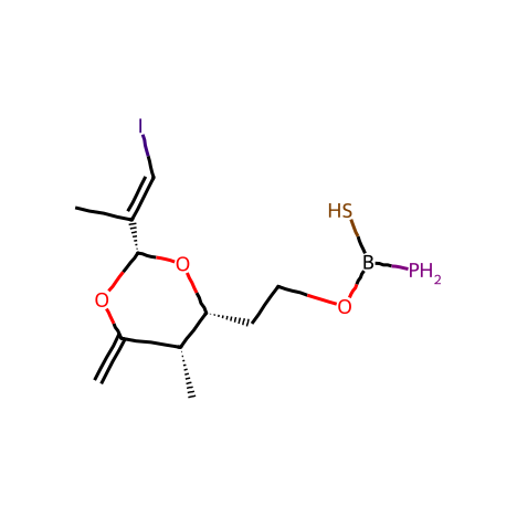 C=C1O[C@H](/C(C)=C/I)O[C@H](CCOB(P)S)[C@@H]1C